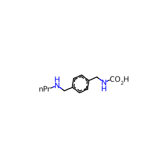 CCCNCc1ccc(CNC(=O)O)cc1